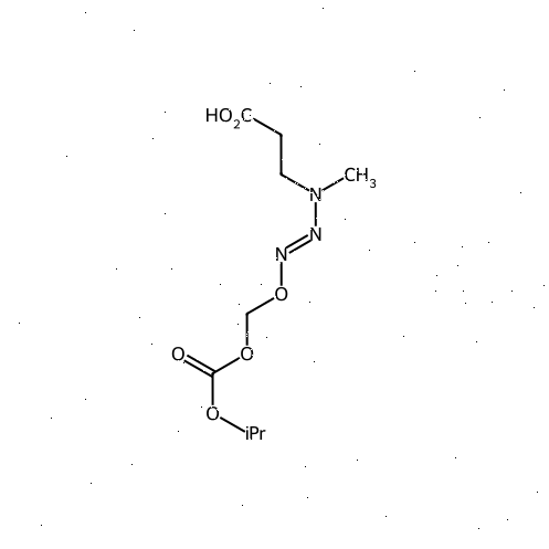 CC(C)OC(=O)OCON=NN(C)CCC(=O)O